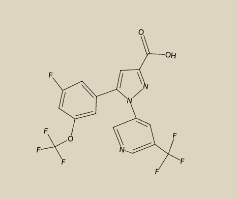 O=C(O)c1cc(-c2cc(F)cc(OC(F)(F)F)c2)n(-c2cncc(C(F)(F)F)c2)n1